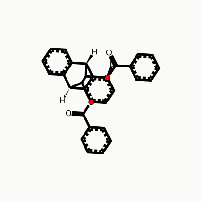 O=C(OC1C(OC(=O)c2ccccc2)[C@@H]2c3ccccc3[C@@H]1c1cccc(Br)c12)c1ccccc1